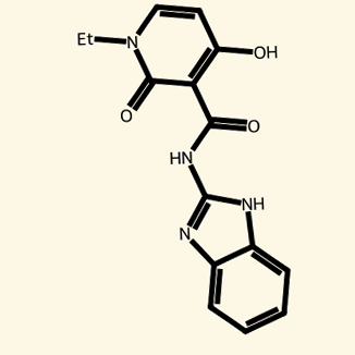 CCn1ccc(O)c(C(=O)Nc2nc3ccccc3[nH]2)c1=O